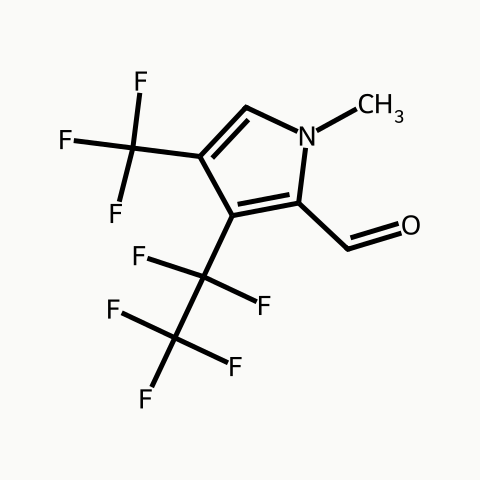 Cn1cc(C(F)(F)F)c(C(F)(F)C(F)(F)F)c1C=O